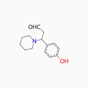 O=CCC(c1ccc(O)cc1)N1CCCCC1